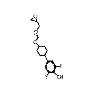 N#Cc1c(F)cc(C2CCC(OCOCC3CO3)CC2)cc1F